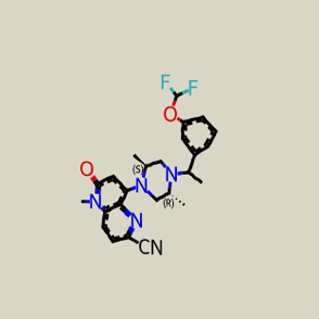 CC(c1cccc(OC(F)F)c1)N1C[C@H](C)N(c2cc(=O)n(C)c3ccc(C#N)nc23)C[C@H]1C